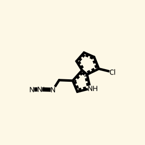 [N-]=[N+]=NCc1c[nH]c2c(Cl)cccc12